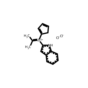 C[C](C)=[Zr+2]([C]1=CC=CC1)[c]1cc2ccccc2[nH]1.[Cl-].[Cl-]